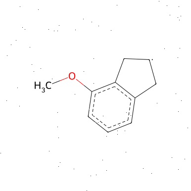 COc1cccc2c1C[CH]C2